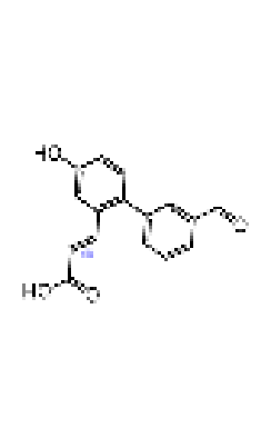 O=Cc1cccc(-c2ccc(O)cc2/C=C/C(=O)O)c1